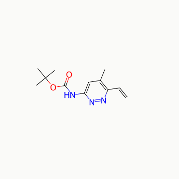 C=Cc1nnc(NC(=O)OC(C)(C)C)cc1C